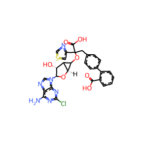 Nc1nc(Cl)nc2c1ncn2[C@@H]1O[C@@H]2C(OC(Cc3ccc(-c4ccccc4C(=O)O)cc3)(C(=O)O)c3cscn3)C2[C@H]1O